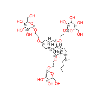 CCCC[C@@H](C)[C@H]1CC[C@H]2[C@@H]3[C@H](OCCO[C@@H]4OC(CO)[C@@H](O)C(O)[C@@H]4O)C[C@@H]4C[C@H](OCCO[C@@H]5OC(CO)[C@@H](O)C(O)[C@@H]5O)CC[C@]4(C)[C@H]3C[C@H](OCCO[C@H]3C=C(O)[C@H](O)C(CO)O3)[C@]12C